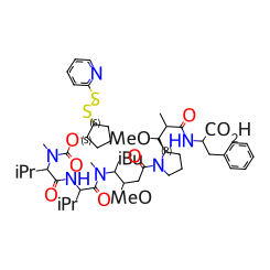 CCC(C)C(C(CC(=O)N1CCC[C@@H]1C(OC)C(C)C(=O)NC(Cc1ccccc1)C(=O)O)OC)N(C)C(=O)C(NC(=O)C(C(C)C)N(C)C(=O)O[C@H]1CCC[C@@H]1SSc1ccccn1)C(C)C